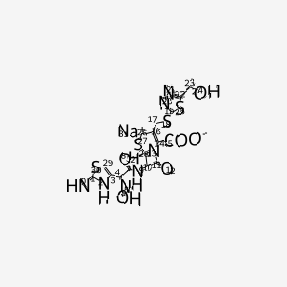 N=c1[nH]c(C(=NO)C(=O)NC2C(=O)N3C(C(=O)[O-])=C(CSc4nnc(CO)s4)CS[C@@H]23)cs1.[Na+]